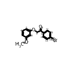 COc1cccc(OCC(=O)c2ccc(Br)cc2)c1